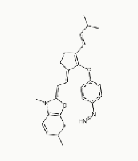 CC(C)/C=C/C1=C(Oc2ccc(N=N)cc2)C(=C/C=C2\OC3=C(C=CC(C)C3)N2C)/CC1